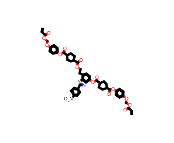 C=CC(=O)OCOc1ccc(OC(=O)C2CCC(C(=O)OCCc3ccc(OC(=O)C4CCC(C(=O)Oc5ccc(OCOC(=O)C=C)cc5)CC4)c4nc(-c5ccc([N+](=O)[O-])cc5)sc34)CC2)cc1